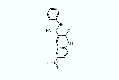 N=C(Nc1ccccc1)C1=Cc2cc([N+](=O)[O-])ccc2NC1Cl